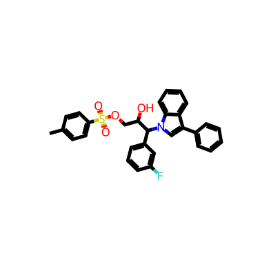 Cc1ccc(S(=O)(=O)OCC(O)C(c2cccc(F)c2)n2cc(-c3ccccc3)c3ccccc32)cc1